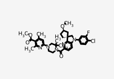 COC(=O)c1c(C)cc(N2CCN(C(=O)c3ccc4c(n3)[C@]3(CC[C@@H](OC)C3)CN4c3ccc(Cl)c(F)c3)C(C)(C)C2)nc1C